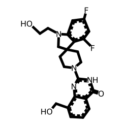 O=c1[nH]c(N2CCC3(CC2)CN(CCO)c2cc(F)cc(F)c23)nc2c(CO)cccc12